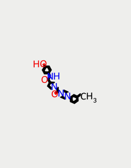 CCc1cccc(N2CCN(C(=O)CN3CCC(C(=O)Nc4ccc(O)cc4)C3)CC2)c1